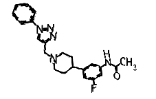 CC(=O)Nc1cc(F)cc(C2CCN(Cc3cn(-c4ccccc4)nn3)CC2)c1